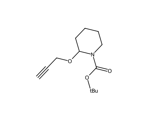 C#CCOC1CCCCN1C(=O)OC(C)(C)C